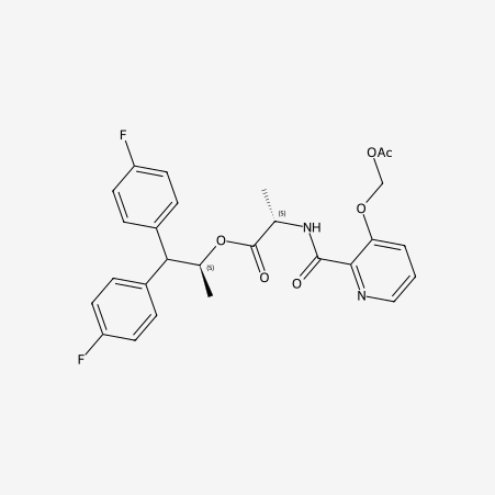 CC(=O)OCOc1cccnc1C(=O)N[C@@H](C)C(=O)O[C@@H](C)C(c1ccc(F)cc1)c1ccc(F)cc1